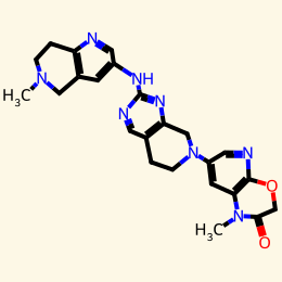 CN1CCc2ncc(Nc3ncc4c(n3)CN(c3cnc5c(c3)N(C)C(=O)CO5)CC4)cc2C1